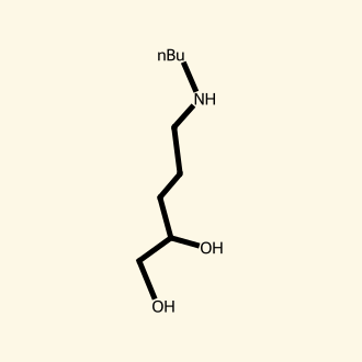 CCCCNCCCC(O)CO